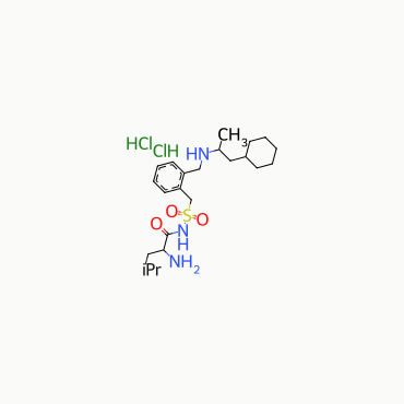 CC(C)CC(N)C(=O)NS(=O)(=O)Cc1ccccc1CNC(C)CC1CCCCC1.Cl.Cl